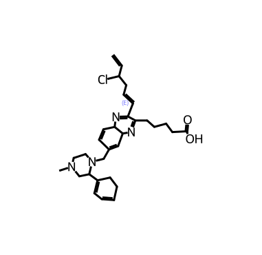 C=CC(Cl)C/C=C/C1=NC2C=CC(CN3CCN(C)CC3C3=CC=CCC3)=CC2N=C1CCCCC(=O)O